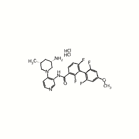 COc1cc(F)c(-c2c(F)ccc(C(=O)Nc3cnccc3N3C[C@H](C)C[C@H](N)C3)c2F)c(F)c1.Cl.Cl